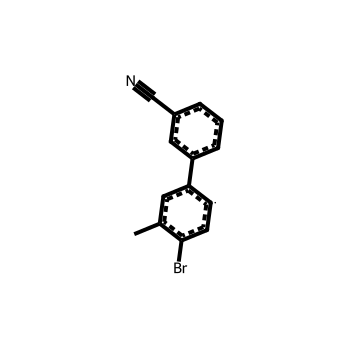 Cc1cc(-c2cccc(C#N)c2)[c]cc1Br